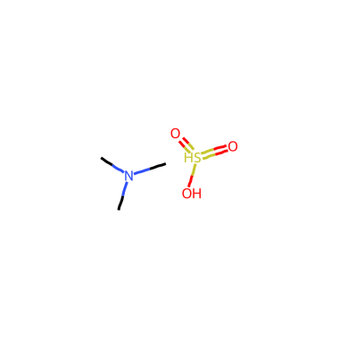 CN(C)C.O=[SH](=O)O